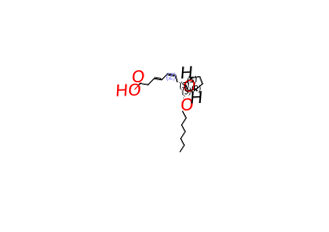 CCCCCCCOC[C@@H]1[C@H](C/C=C\C=CCC(=O)O)[C@@H]2CC[C@H]1O2